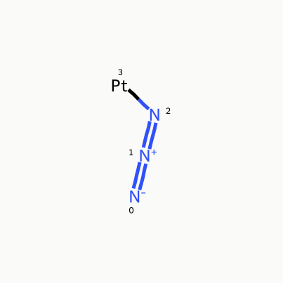 [N-]=[N+]=[N][Pt]